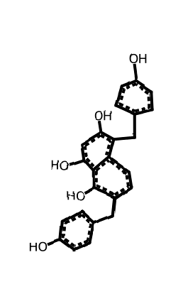 Oc1ccc(Cc2ccc3c(Cc4ccc(O)cc4)c(O)cc(O)c3c2O)cc1